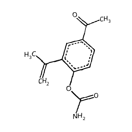 C=C(C)c1cc(C(C)=O)ccc1OC(N)=O